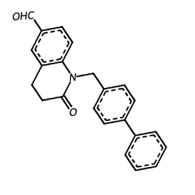 O=Cc1ccc2c(c1)CCC(=O)N2Cc1ccc(-c2ccccc2)cc1